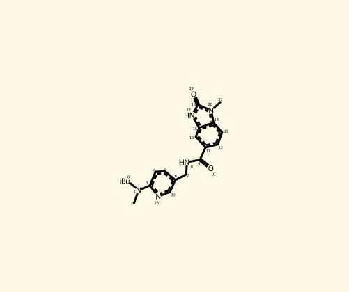 CCC(C)N(C)c1ccc(CNC(=O)c2ccc3c(c2)[nH]c(=O)n3C)cn1